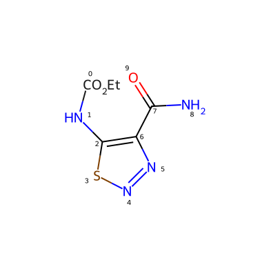 CCOC(=O)Nc1snnc1C(N)=O